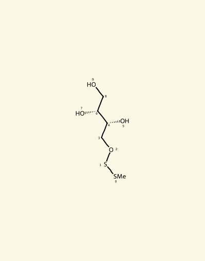 CSSOC[C@@H](O)[C@H](O)CO